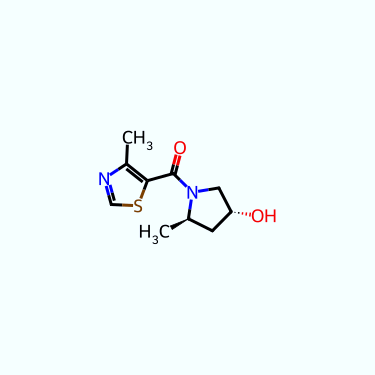 Cc1ncsc1C(=O)N1C[C@H](O)C[C@H]1C